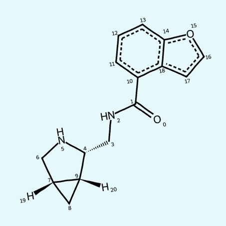 O=C(NC[C@H]1NC[C@H]2C[C@H]21)c1cccc2occc12